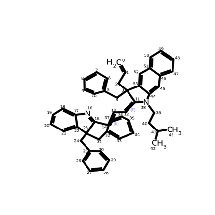 C=CCC1(Cc2ccccc2)/C(=C\C=C\C2=Nc3ccccc3C2(Cc2ccccc2)Cc2ccccc2)N(CCC(C)C)c2cc3ccccc3cc21